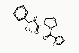 C[C@@H](NC(=O)[C@@H]1CSCN1C(=O)c1cccs1)c1ccccc1